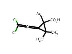 CC(=O)C1(C(=O)O)C(=C=C(Cl)Cl)C1(C)C